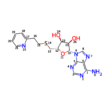 Nc1ncnc2c1ncn2[C@@H]1O[C@H](CSCCc2ccccn2)[C@@H](O)[C@H]1O